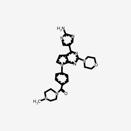 CN1CCN(C(=O)c2ccc(-n3ccc4c(-c5cnc(N)nc5)nc(N5CCOCC5)nc43)cc2)CC1